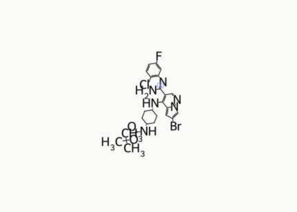 CC(C)(C)OC(=O)N[C@H]1CC[C@@H](Nc2c(/C(N)=N/c3cc(F)ccc3Cl)cnn3cc(Br)cc23)CC1